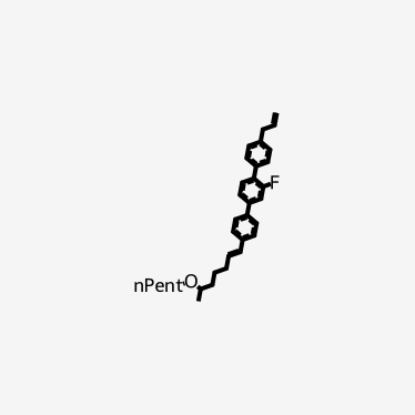 C=CCc1ccc(-c2ccc(-c3ccc(C=CCCCC(C)OCCCCC)cc3)cc2F)cc1